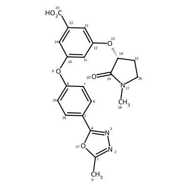 Cc1nnc(-c2ccc(Oc3cc(O[C@@H]4CCN(C)C4=O)cc(C(=O)O)c3)cc2)o1